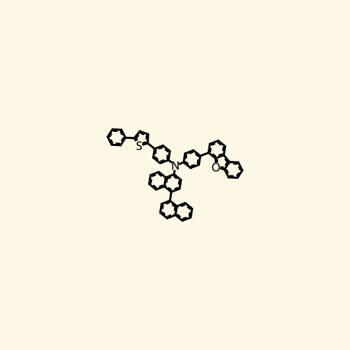 c1ccc(-c2ccc(-c3ccc(N(c4ccc(-c5cccc6c5oc5ccccc56)cc4)c4ccc(-c5cccc6ccccc56)c5ccccc45)cc3)s2)cc1